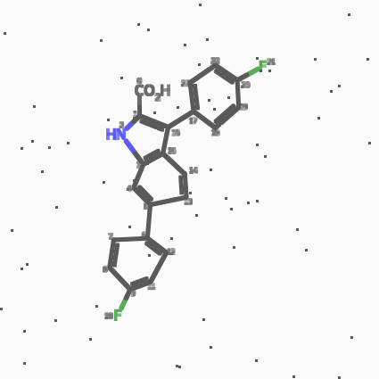 O=C(O)c1[nH]c2cc(-c3ccc(F)cc3)ccc2c1-c1ccc(F)cc1